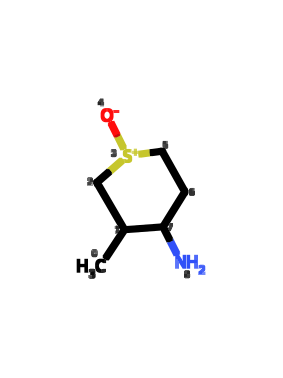 CC1C[S+]([O-])CCC1N